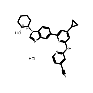 Cl.N#Cc1ccnc(Nc2cc(C3CC3)cc(-c3ccc4c(c3)ncn4[C@@H]3CCCC[C@H]3O)n2)c1